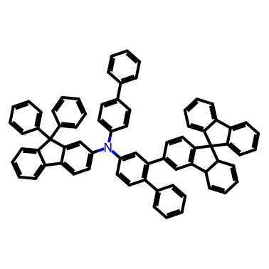 C1=CC2c3cc(-c4cc(N(c5ccc(-c6ccccc6)cc5)c5ccc6c(c5)C(c5ccccc5)(c5ccccc5)c5ccccc5-6)ccc4-c4ccccc4)ccc3C3(c4ccccc4-c4ccccc43)C2C=C1